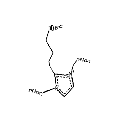 CCCCCCCCCCCCCc1n(CCCCCCCCC)cc[n+]1CCCCCCCCC